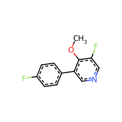 COc1c(F)cncc1-c1ccc(F)cc1